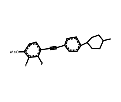 COc1ccc(C#Cc2ccc(C3CCC(C)CC3)cc2)c(F)c1F